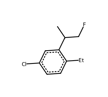 CCc1ccc(Cl)cc1[C](C)CF